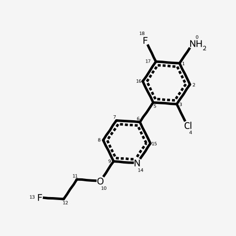 Nc1cc(Cl)c(-c2ccc(OCCF)nc2)cc1F